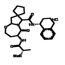 CN[C@@H](C)C(=O)N[C@H]1CCOC2CC3(CCCC3)C(C(=O)N[C@@H]3CCCc4ccccc43)N2C1=O.Cl